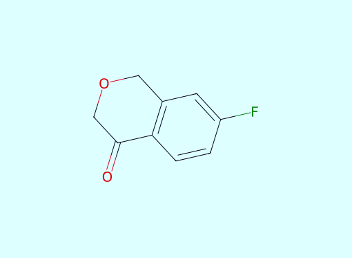 O=C1COCc2cc(F)ccc21